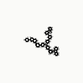 c1ccc(-c2ccc3ccc(-c4cccc(-c5ccc(N(c6ccc(-c7cccc(-c8cccc9c8oc8ccccc89)c7)cc6)c6ccc(-c7cccc(-n8c9ccccc9c9ccccc98)c7)cc6)cc5)c4)cc3c2)cc1